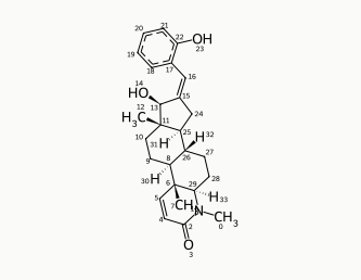 CN1C(=O)C=C[C@]2(C)[C@H]3CC[C@]4(C)[C@@H](O)/C(=C\c5ccccc5O)C[C@H]4[C@@H]3CC[C@@H]12